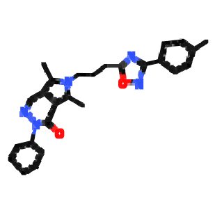 Cc1ccc(-c2noc(CCCn3c(C)c4cnn(-c5ccccc5)c(=O)c4c3C)n2)cc1